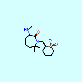 CNC1CCCC(C)(C)N(CC2CCCCS2(=O)=O)C1=O